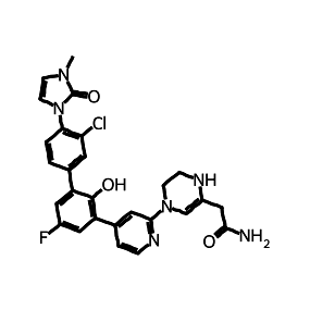 Cn1ccn(-c2ccc(-c3cc(F)cc(-c4ccnc(N5C=C(CC(N)=O)NCC5)c4)c3O)cc2Cl)c1=O